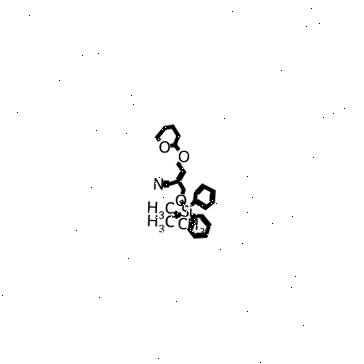 CC(C)(C)[Si](OC/C(C#N)=C/COC1CCCCO1)(c1ccccc1)c1ccccc1